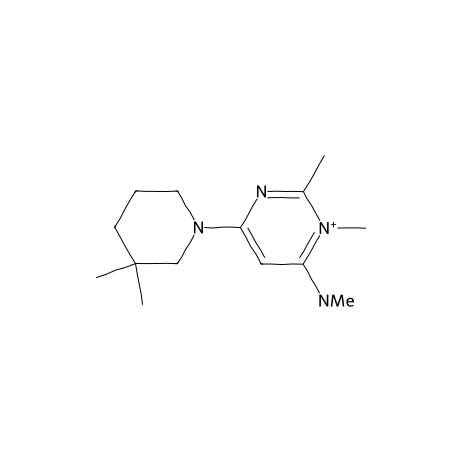 CNc1cc(N2CCCC(C)(C)C2)nc(C)[n+]1C